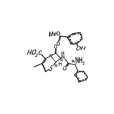 CC1=C(C(=O)O)N2C(=O)[C@@H](NC(=O)[C@H](N)c3ccccc3)[C@H]2SC1.COC(=O)c1cccc(O)c1